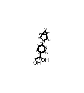 OCC(O)c1ccc(N2CC3CC3C2)nc1